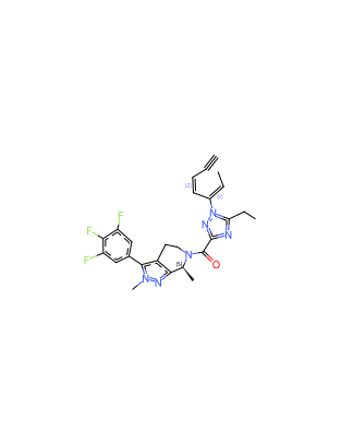 C#C/C=C\C(=C/C)n1nc(C(=O)N2CCc3c(nn(C)c3-c3cc(F)c(F)c(F)c3)[C@@H]2C)nc1CC